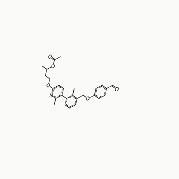 CC(=O)OC(C)CCOc1ccc(-c2cccc(COc3ccc(C=O)cc3)c2C)c(C)n1